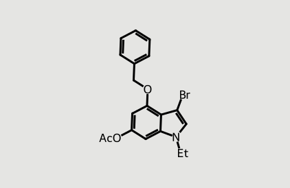 CCn1cc(Br)c2c(OCc3ccccc3)cc(OC(C)=O)cc21